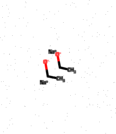 CC[O-].CC[O-].[Na+].[Na+]